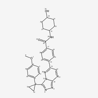 COc1ccc(C2(c3nnc4ncc(-c5ccc(C(=O)NC6CCC(O)CC6)cc5)nn34)CC2)cc1